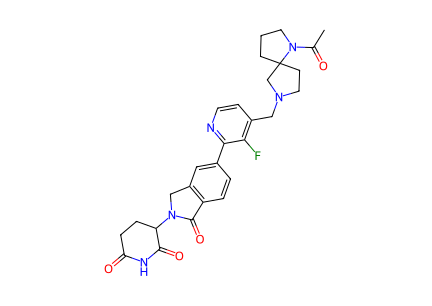 CC(=O)N1CCCC12CCN(Cc1ccnc(-c3ccc4c(c3)CN(C3CCC(=O)NC3=O)C4=O)c1F)C2